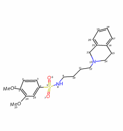 COc1ccc(S(=O)(=O)NCCCCN2CCc3ccccc3C2)cc1OC